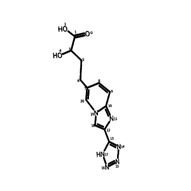 O=C(O)C(O)CCc1ccc2nc(-c3nnn[nH]3)cn2c1